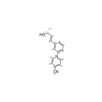 C[C@@H](O)/C=C/c1cccc(-c2ccc(C#N)cc2)c1